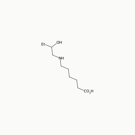 CCC(O)CNCCCCCC(=O)O